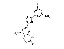 Cc1cc(-c2csc(-c3cc(N)cc(F)c3)n2)cc2c1OCC(=O)N2